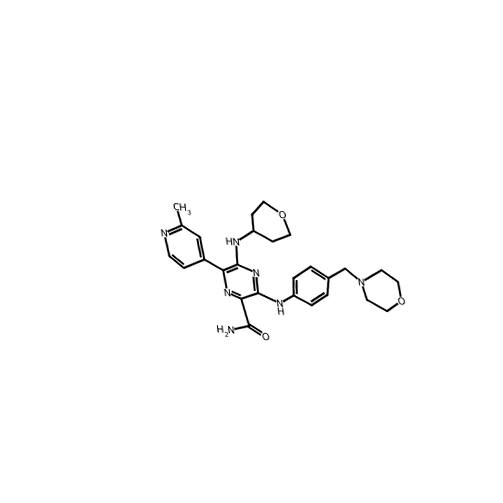 Cc1cc(-c2nc(C(N)=O)c(Nc3ccc(CN4CCOCC4)cc3)nc2NC2CCOCC2)ccn1